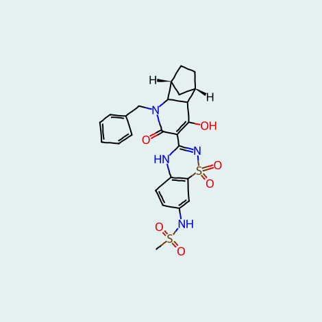 CS(=O)(=O)Nc1ccc2c(c1)S(=O)(=O)N=C(C1=C(O)C3C([C@@H]4CC[C@H]3C4)N(Cc3ccccc3)C1=O)N2